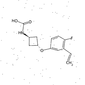 C=Cc1cc(O[C@H]2C[C@H](NC(=O)O)C2)ccc1F